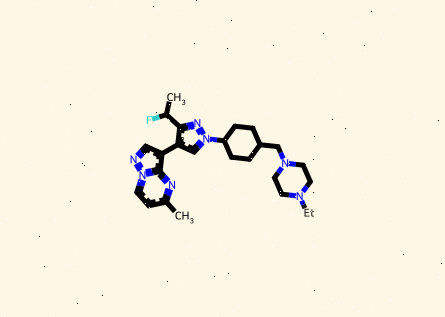 CCN1CCN(CC2CCC(n3cc(-c4cnn5ccc(C)nc45)c(C(C)F)n3)CC2)CC1